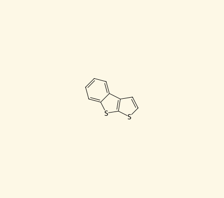 c1ccc2c(c1)sc1sccc12